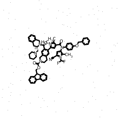 Cc1c(C(=O)N(c2ccc(OCc3ccccc3)cc2)c2cc(C#N)n(C(F)F)c2C)cc(-c2cc3c(cc2C(=O)N2Cc4ccccc4C[C@H]2CN2CCCCC2)CN(C(=O)OCC2c4ccccc4-c4ccccc42)CC3)n1C